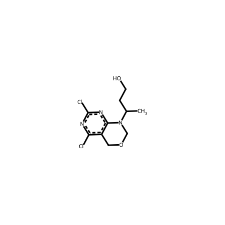 CC(CCO)N1COCc2c(Cl)nc(Cl)nc21